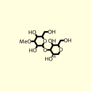 COC1C(O)C(CO)OC(OC2C(O)C(CO)OC[C@H]2O)C1O